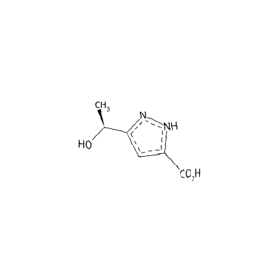 C[C@H](O)c1cc(C(=O)O)[nH]n1